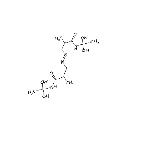 CC(CN=NCC(C)C(=O)NC(C)(O)O)C(=O)NC(C)(O)O